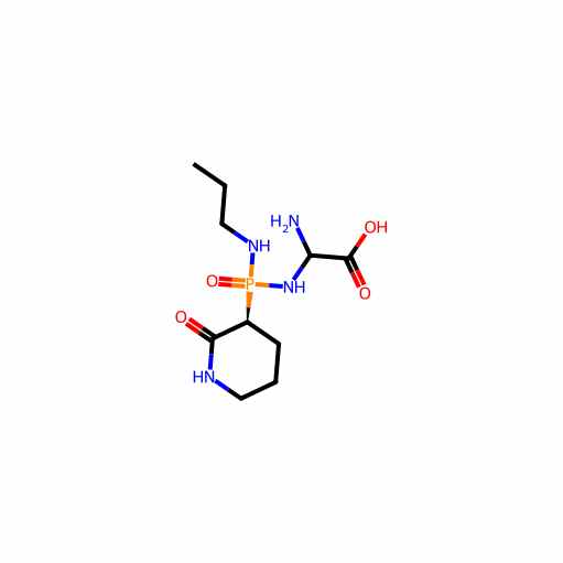 CCCNP(=O)(NC(N)C(=O)O)[C@H]1CCCNC1=O